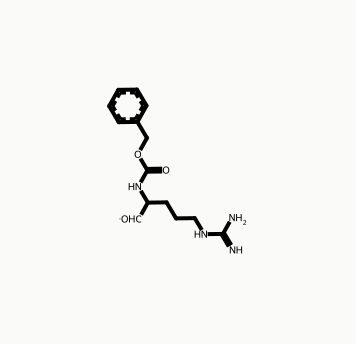 N=C(N)NCCCC([C]=O)NC(=O)OCc1ccccc1